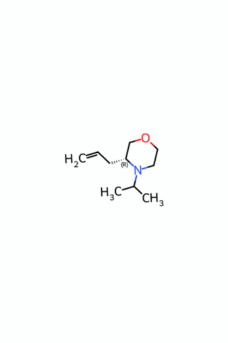 C=CC[C@@H]1COCCN1C(C)C